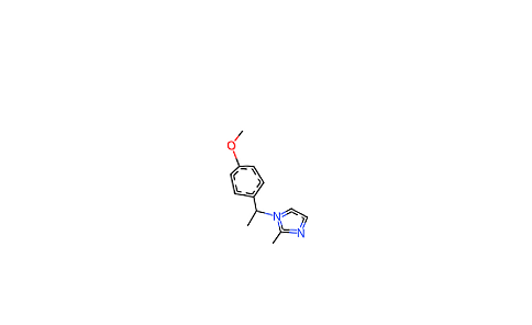 COc1ccc(C(C)n2ccnc2C)cc1